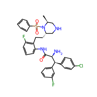 C[C@H]1CNC[C@H](CCc2c(F)cccc2NC(=O)[C@@H](N)[C@@H](c2ccc(Cl)cc2)c2cccc(F)c2)N1S(=O)(=O)c1ccccc1